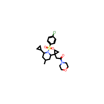 CC1CC(C2CC2)N(S(=O)(=O)c2ccc(Cl)cc2)C(C2(CC(=O)N3CCOCC3)CC2)C1